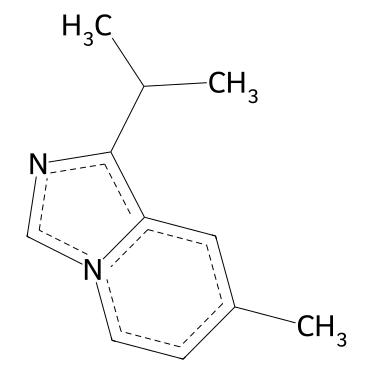 Cc1ccn2cnc(C(C)C)c2c1